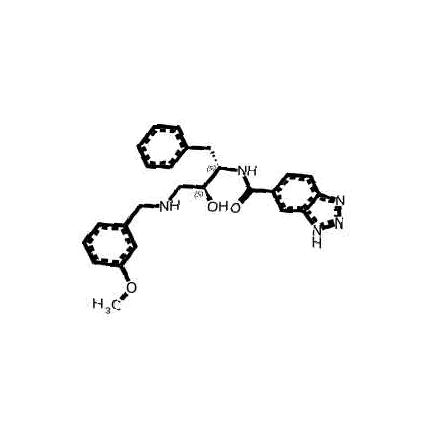 COc1cccc(CNC[C@H](O)[C@H](Cc2ccccc2)NC(=O)c2ccc3nn[nH]c3c2)c1